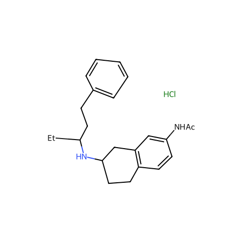 CCC(CCc1ccccc1)NC1CCc2ccc(NC(C)=O)cc2C1.Cl